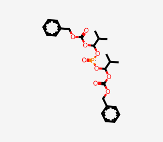 CC(C)C(OC(=O)OCc1ccccc1)O[P](=O)OC(OC(=O)OCc1ccccc1)C(C)C